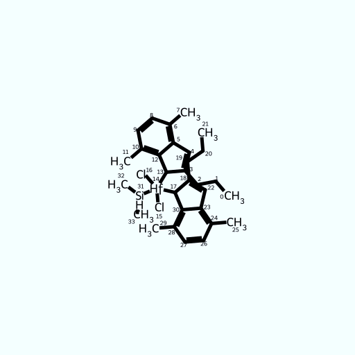 CCCC1=Cc2c(C)ccc(C)c2[CH]1[Hf]([Cl])([Cl])([CH]1C(CCC)=Cc2c(C)ccc(C)c21)[SiH](C)C